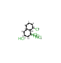 Cl.Cl.Cl.Cl.Clc1cccc2ccccc12